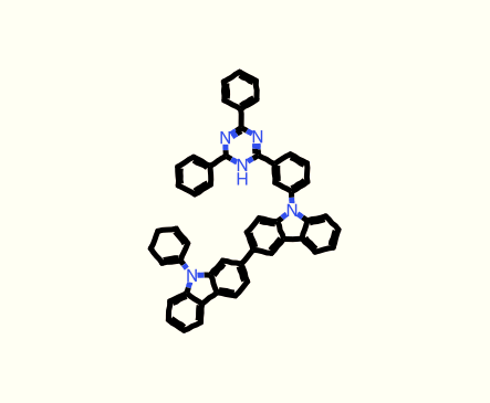 C1=CC(n2c3ccccc3c3ccc(-c4ccc5c(c4)c4ccccc4n5-c4cccc(C5=NC(c6ccccc6)=NC(c6ccccc6)N5)c4)cc32)=CCC1